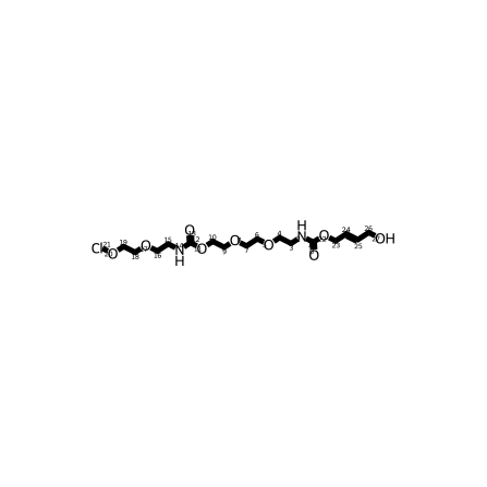 O=C(NCCOCCOCCOC(=O)NCCOCCOCl)OC/C=C/CO